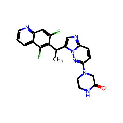 CC(c1c(F)cc2ncccc2c1F)c1cnc2ccc(N3CCNC(=O)C3)nn12